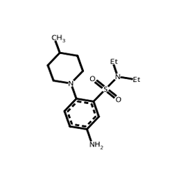 CCN(CC)S(=O)(=O)c1cc(N)ccc1N1CCC(C)CC1